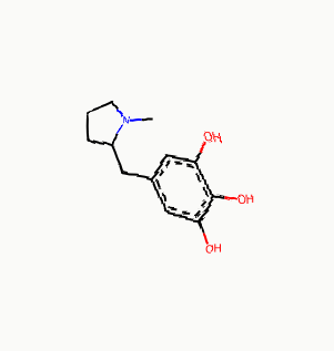 CN1CCCC1Cc1cc(O)c(O)c(O)c1